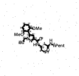 CCCCCNC(=O)C[C@H](CC(C)C)NC(=O)c1cc(-c2c(OC)cccc2OC)n(CC(C)CC)n1